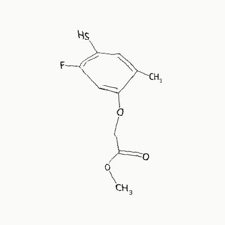 COC(=O)COc1cc(F)c(S)cc1C